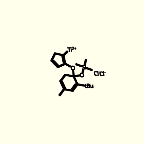 CC1=CCC(OC2=[C]([Ti+2])CC=C2)(O[Si](C)(C)C)C(C(C)(C)C)=C1.[Cl-].[Cl-]